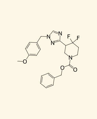 COc1ccc(Cn2cnc(C3CN(C(=O)OCc4ccccc4)CCC3(F)F)n2)cc1